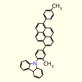 Cc1ccc(-c2ccc3ccc4c(-c5ccc(N6c7ccccc7C7C=CC=CC76)c(C)c5)ccc5ccc2c3c54)cc1